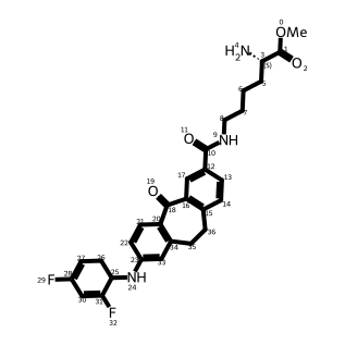 COC(=O)[C@@H](N)CCCCNC(=O)c1ccc2c(c1)C(=O)c1ccc(NC3CC=C(F)C=C3F)cc1CC2